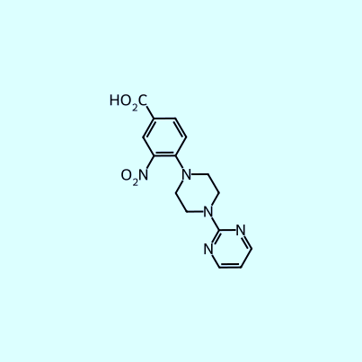 O=C(O)c1ccc(N2CCN(c3ncccn3)CC2)c([N+](=O)[O-])c1